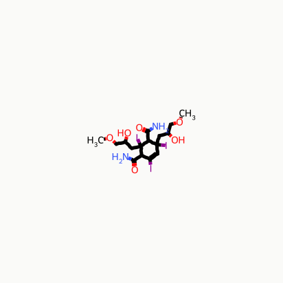 COCC(O)CC1(I)C=C(I)C(C(N)=O)C(I)(CC(O)COC)C1C(N)=O